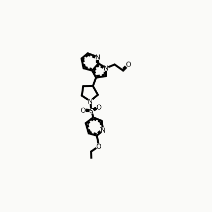 CCOc1ccc(S(=O)(=O)N2CCC(c3cn(CC=O)c4ncccc34)C2)cn1